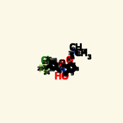 CN(C)CCOc1cccc2c1C(=O)N(Cc1ccc(Cl)c(C(F)(F)F)c1)C2O